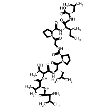 CC[C@H](C)[C@H](NC(=O)[C@@H]1CCCN1C(=O)CNC(=O)[C@@H]1CCCN1C(=O)[C@H](CC(C)C)NC(=O)[C@@H](NC(=O)[C@@H](NC(=O)[C@@H](N)C(C)C)C(C)C)[C@@H](C)O)C(=O)N[C@@H](CC(C)C)C(=O)O